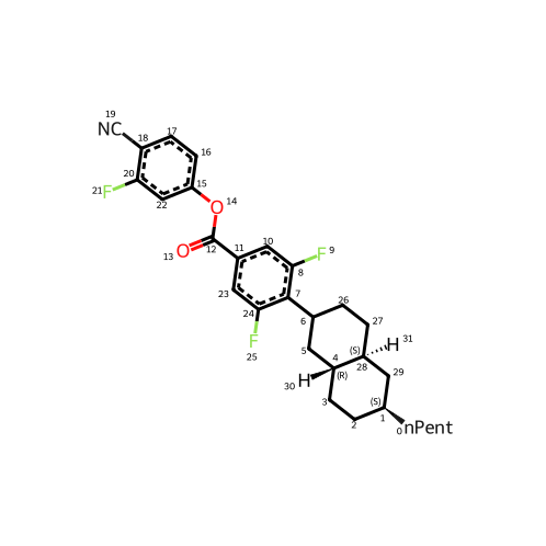 CCCCC[C@H]1CC[C@@H]2CC(c3c(F)cc(C(=O)Oc4ccc(C#N)c(F)c4)cc3F)CC[C@H]2C1